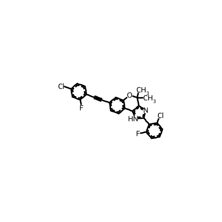 CC1(C)Oc2cc(C#Cc3ccc(Cl)cc3F)ccc2-c2[nH]c(-c3c(F)cccc3Cl)nc21